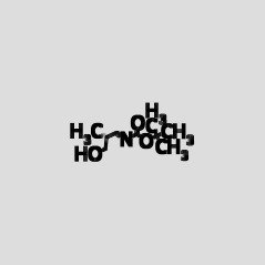 C[C@H](/C=N/C(=O)OC(C)(C)C)CO